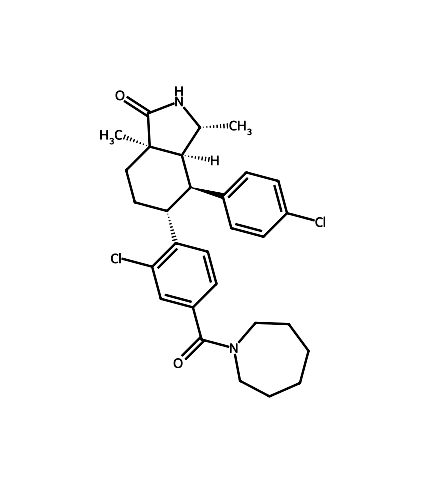 C[C@H]1NC(=O)[C@]2(C)CC[C@@H](c3ccc(C(=O)N4CCCCCC4)cc3Cl)[C@H](c3ccc(Cl)cc3)[C@H]12